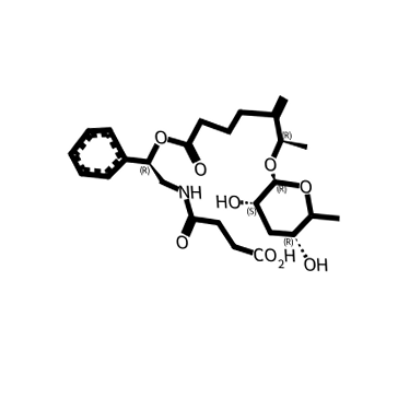 C=C(CCCC(=O)O[C@@H](CNC(=O)CCC(=O)O)c1ccccc1)[C@@H](C)O[C@@H]1OC(C)[C@H](O)C[C@@H]1O